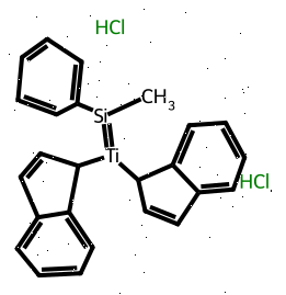 C[Si](c1ccccc1)=[Ti]([CH]1C=Cc2ccccc21)[CH]1C=Cc2ccccc21.Cl.Cl